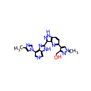 Cc1cn(-c2cncc3[nH]c(-c4n[nH]c5ccc(-c6cn(C)nc6CO)nc45)nc23)cn1